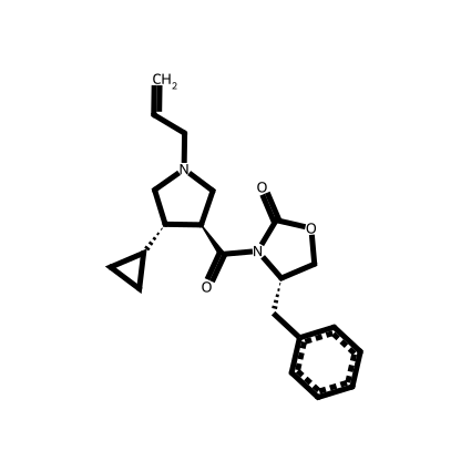 C=CCN1C[C@@H](C(=O)N2C(=O)OC[C@@H]2Cc2ccccc2)[C@H](C2CC2)C1